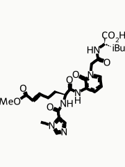 CC[C@@H](C)[C@H](NC(=O)Cn1cccc(NC(=O)[C@H](CCC=CC(=O)OC)NC(=O)c2cncn2C)c1=O)C(=O)O